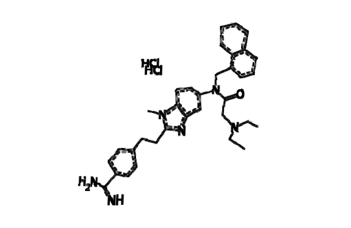 CCN(CC)CC(=O)N(Cc1cccc2ccccc12)c1ccc2c(c1)nc(CCc1ccc(C(=N)N)cc1)n2C.Cl.Cl